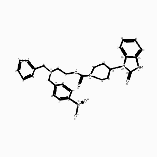 O=C(OCCN(Cc1ccccc1)Cc1ccc([N+](=O)[O-])cc1)N1CCC(n2c(=O)[nH]c3ccccc32)CC1